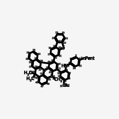 CCCCCc1ccc(Nc2ccc(C(C)(C)C)cc2-c2cc(-c3ccc4c(c3)sc3ccccc34)c3c4c5ccccc5cc5c4n4c3c2B(C)c2cccc(c2-4)C5(C)C)cc1